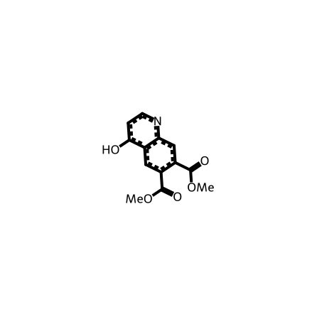 COC(=O)c1cc2nccc(O)c2cc1C(=O)OC